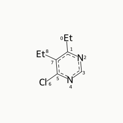 CCc1ncnc(Cl)c1CC